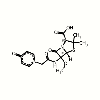 COC1(NC(=O)Cn2ccc(=O)cc2)C(=O)N2[C@@H](C(=O)O)C(C)(C)S[C@@H]21